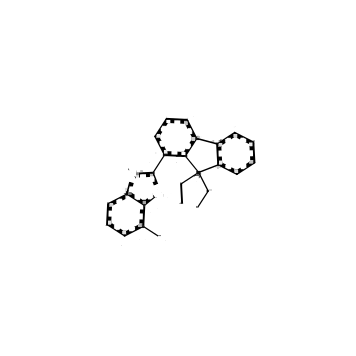 CCC1(CC)c2ccccc2-c2cccc(-c3nc4cccc(I)c4s3)c21